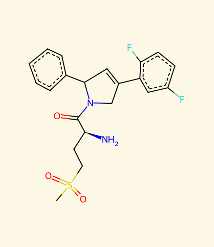 CS(=O)(=O)CC[C@H](N)C(=O)N1CC(c2cc(F)ccc2F)=CC1c1ccccc1